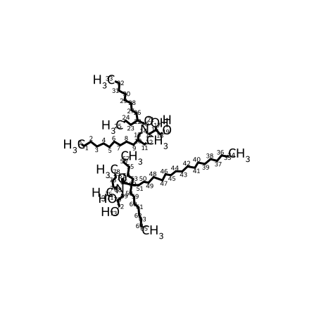 CCCCCCCCCCC(CC)CN(CC(O)CO)C(=O)C(CCC)CCCCCCCC.CCCCCCCCCCCCCCCCCCC(CCCCC)(CCCCCCCC)C(=O)N(CC(O)CO)C(C)CCC